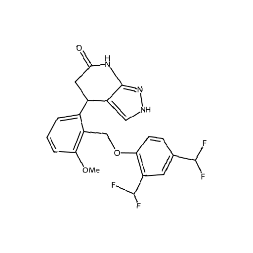 COc1cccc(C2CC(=O)Nc3n[nH]cc32)c1COc1ccc(C(F)F)cc1C(F)F